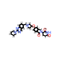 O=C1CCC(N2Cc3cc(O[C@H]4CCN(Cc5ccc6nc(N7CCCCC7)ncc6c5)C4)ccc3C2=O)C(=O)N1